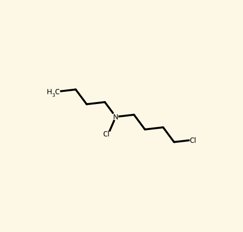 CCCCN(Cl)CCCCCl